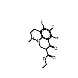 CCOC(=O)C1CN2c3c(c(F)c(F)c(F)c3C1=O)CCN2C